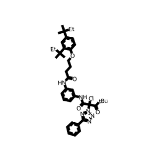 CCC(C)(C)c1ccc(OCCCC(=O)Nc2cccc(NC(=O)C(Cl)(C(=O)C(C)(C)C)n3nnc(-c4ccccc4)n3)c2)c(C(C)(C)CC)c1